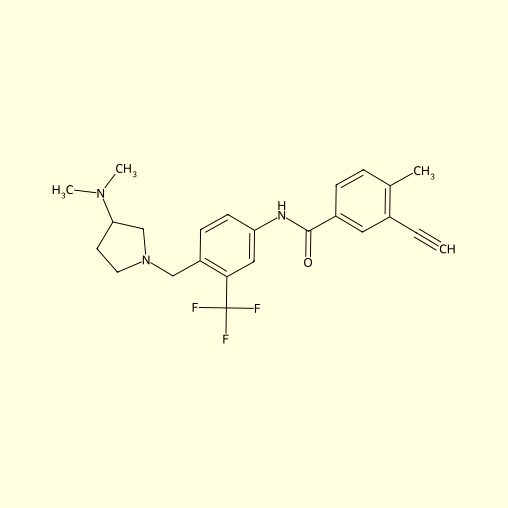 C#Cc1cc(C(=O)Nc2ccc(CN3CCC(N(C)C)C3)c(C(F)(F)F)c2)ccc1C